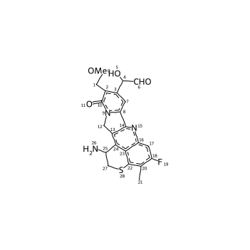 COCc1c(C(O)C=O)cc2n(c1=O)Cc1c-2nc2cc(F)c(C)c3c2c1C(N)CS3